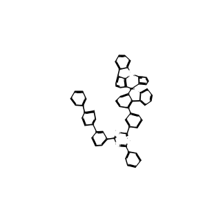 c1ccc(-c2ccc(-c3cccc(-c4nc(-c5ccccc5)nc(-c5cccc(-c6cccc7c6-c6ccccc6[C@@]76c7ccccc7-n7c8ccccc8c8cccc6c87)c5)n4)c3)cc2)cc1